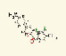 Cc1ccc(C(=O)[C@@H]2CCC(C3CCC(C)CC3)CO2)c(F)c1F